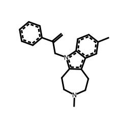 C=C(Cn1c2c(c3cc(C)ccc31)CCN(C)CC2)c1ccccc1